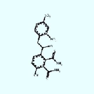 CC(C)C(Cc1ccc([N+](=O)[O-])cc1[N+](=O)[O-])c1ccc(C#N)c(C(N)=S)c1C(N)=S